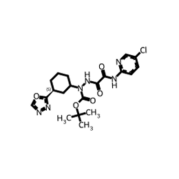 CC(C)(C)OC(=O)N(NC(=O)C(=O)Nc1ccc(Cl)cn1)C1CCC[C@H](c2nnco2)C1